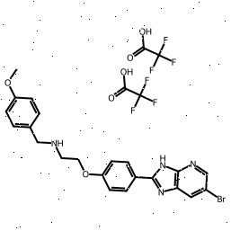 COc1ccc(CNCCOc2ccc(-c3nc4cc(Br)cnc4[nH]3)cc2)cc1.O=C(O)C(F)(F)F.O=C(O)C(F)(F)F